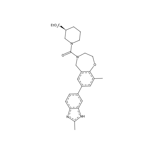 CCOC(=O)[C@H]1CCCN(C(=O)N2CCOc3c(C)cc(-c4ccc5nc(C)[nH]c5c4)cc3C2)C1